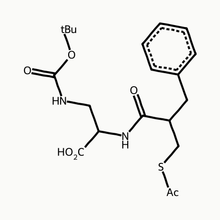 CC(=O)SCC(Cc1ccccc1)C(=O)NC(CNC(=O)OC(C)(C)C)C(=O)O